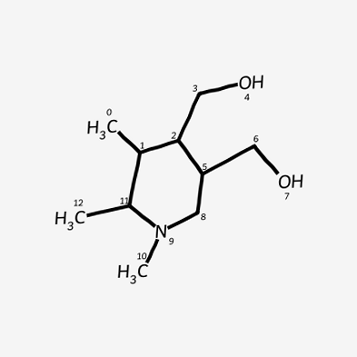 CC1C(CO)C(CO)CN(C)C1C